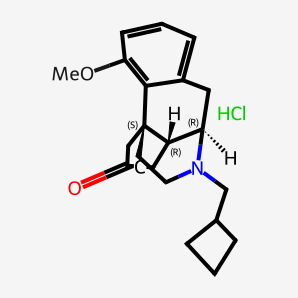 COc1cccc2c1[C@]13CCN(CC4CCC4)[C@H](C2)[C@@H]1CCC(=O)C3.Cl